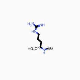 CCC(C)N[C@@H](CCCNC(=N)N)C(=O)O